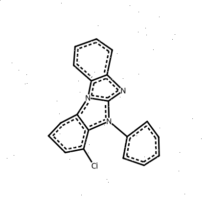 Clc1cccc2c1n(-c1ccccc1)c1nc3ccccc3n21